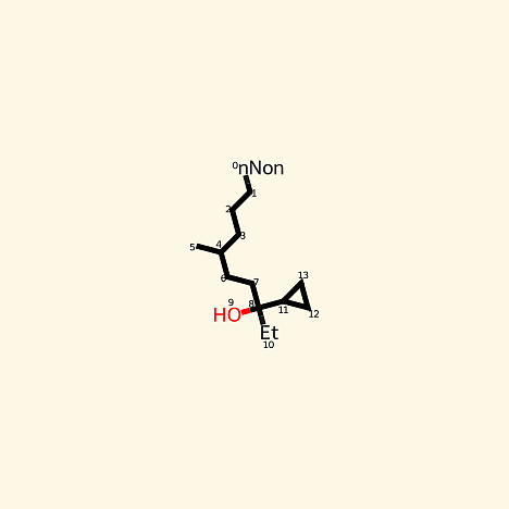 CCCCCCCCCCCCC(C)CCC(O)(CC)C1CC1